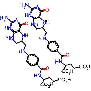 Nc1nc(=O)c2c([nH]1)NCC(CNc1ccc(C(=O)N[C@@H](CCC(=O)O)C(=O)O)cc1)N2.Nc1nc(=O)c2c([nH]1)NCC(CNc1ccc(C(=O)N[C@@H](CCC(=O)O)C(=O)O)cc1)N2